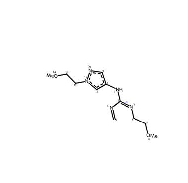 C=N/C(=N\CCOC)Nc1cnn(CCOC)c1